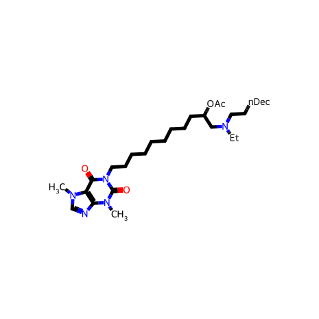 CCCCCCCCCCCCN(CC)CC(CCCCCCCCCn1c(=O)c2c(ncn2C)n(C)c1=O)OC(C)=O